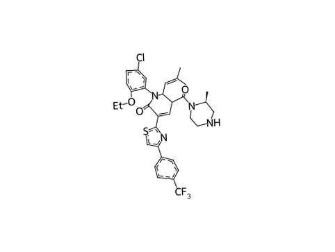 CCOc1ccc(Cl)cc1N1C(=O)C(c2nc(-c3ccc(C(F)(F)F)cc3)cs2)=CC(C(=O)N2CCNC[C@@H]2C)C1C=C(C)C